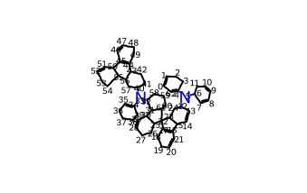 C1=CCCC(N(C2C=CC=CC2)C2C=CC3C4=C(CCC=C4)C4(C3C2)C2CCC=CC2C2C(N(C3=CCCCC3)C3CCC5C6=C(C=CCC6)C6C=CCCC6C5C3)CCCC24)=C1